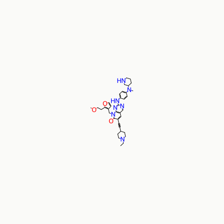 CCN1CCC(C#Cc2cc3cnc(Nc4ccc(N(C)C5CCCNC5)cc4)nc3n(Cc3ccoc3CCOC)c2=O)CC1